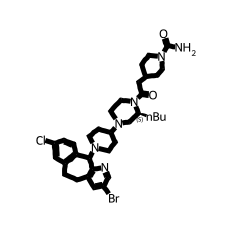 CCCC[C@H]1CN(C2CCN(C3c4ccc(Cl)cc4CCc4cc(Br)cnc43)CC2)CCN1C(=O)CC1CCN(C(N)=O)CC1